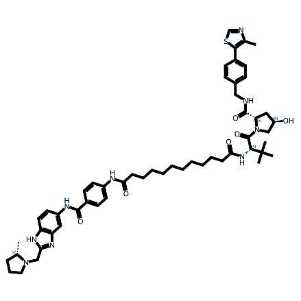 Cc1ncsc1-c1ccc(CNC(=O)[C@@H]2C[C@@H](O)CN2C(=O)[C@@H](NC(=O)CCCCCCCCCCC(=O)Nc2ccc(C(=O)Nc3ccc4[nH]c(CN5CCC[C@@H]5C)nc4c3)cc2)C(C)(C)C)cc1